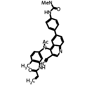 C#Cc1cnc2ccc(-c3ccc(NC(=O)NC)cc3)cc2c1N(C(C)=O)c1ccc(C)c(NC(=O)C=C)c1